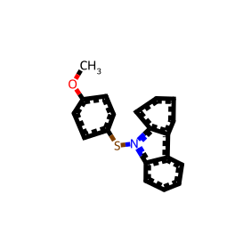 COc1ccc(Sn2c3ccccc3c3ccccc32)cc1